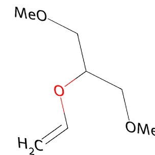 C=COC(COC)COC